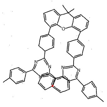 Cc1ccc(-c2nc(-c3ccccc3)nc(-c3ccc(-c4cccc5c4Oc4c(C6=CCC(c7nc(-c8ccccc8)nc(-c8ccc(C)cc8)n7)C=C6)cccc4C5(C)C)cc3)n2)cc1